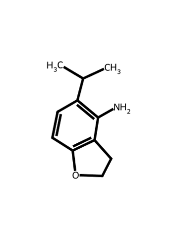 CC(C)c1ccc2c(c1N)CCO2